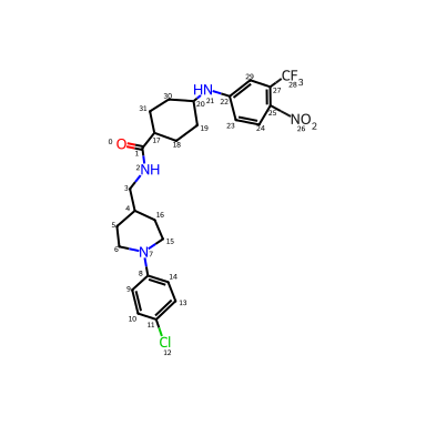 O=C(NCC1CCN(c2ccc(Cl)cc2)CC1)C1CCC(Nc2ccc([N+](=O)[O-])c(C(F)(F)F)c2)CC1